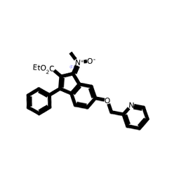 CCOC(=O)C1=C(c2ccccc2)c2ccc(OCc3ccccn3)cc2/C1=[N+](/C)[O-]